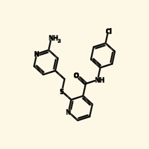 Nc1cc(CSc2ncccc2C(=O)Nc2ccc(Cl)cc2)ccn1